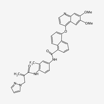 C=C(Cn1cccn1)C(=O)Nc1ccc(NC(=O)c2cccc3c(Oc4ccnc5cc(OC)c(OC)cc45)cccc23)cc1C(F)(F)F